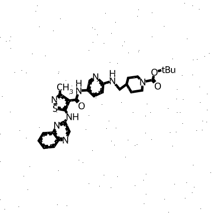 Cc1nsc(Nc2cnc3ccccc3n2)c1C(=O)Nc1ccc(NCC2CCN(C(=O)OC(C)(C)C)CC2)nc1